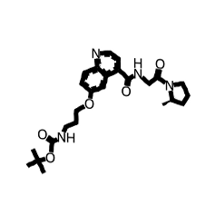 C[C@@H]1CCCN1C(=O)CNC(=O)c1ccnc2ccc(OCCCNC(=O)OC(C)(C)C)cc12